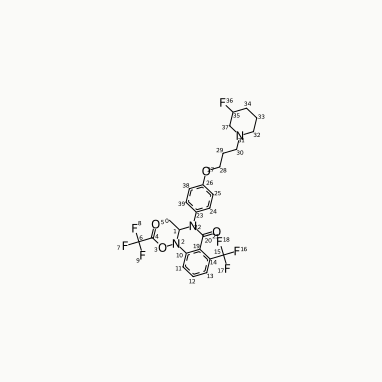 CC1N(OC(=O)C(F)(F)F)c2cccc(C(F)(F)F)c2C(=O)N1c1ccc(OCCCN2CCCC(F)C2)cc1